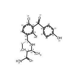 CC[C@@H](N[C@@H](C)CC(N)=O)c1ccc(Cl)c(C(=O)c2ccc(O)cc2)c1F